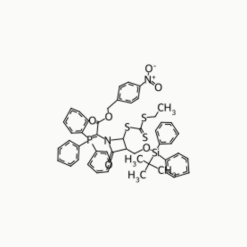 CCSC(=S)SC1C(CO[Si](c2ccccc2)(c2ccccc2)C(C)(C)C)C(=O)N1C(C(=O)OCc1ccc([N+](=O)[O-])cc1)=P(c1ccccc1)(c1ccccc1)c1ccccc1